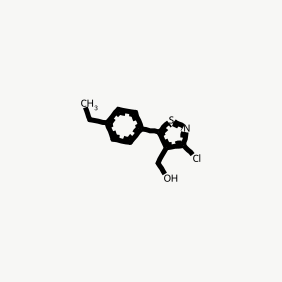 CCc1ccc(-c2snc(Cl)c2CO)cc1